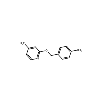 Bc1ccc(COc2cc(C)ccn2)cc1